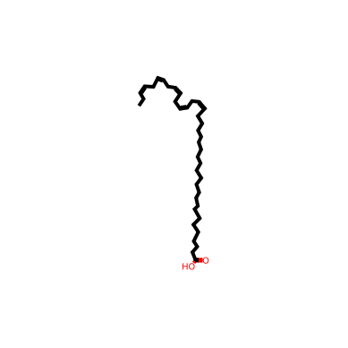 CC/C=C\C/C=C\C/C=C\C/C=C\C/C=C\CCCCCCCCCCCCCCCCCCCCCC(=O)O